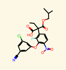 CCC(C(=O)O)(C(=O)OCC(C)C)c1ccc([N+](=O)[O-])c(Oc2cc(Cl)cc(C#N)c2)c1F